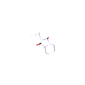 CC(C)[C@@H](C(=O)O)N1C(=O)C2COCCN2C1=O